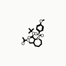 COc1ccc(S(=O)(=O)N2CCCCC(COC(C)=O)C2C(=O)OC(C)(C)C)cc1